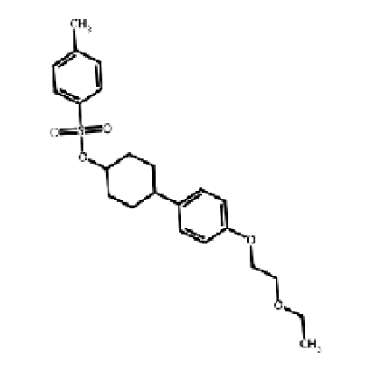 CCOCCOc1ccc(C2CCC(OS(=O)(=O)c3ccc(C)cc3)CC2)cc1